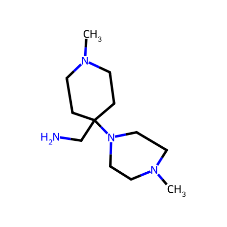 CN1CCN(C2(CN)CCN(C)CC2)CC1